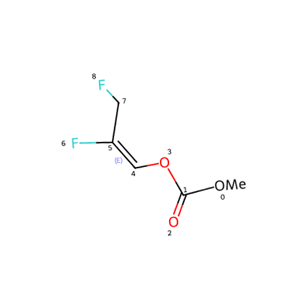 COC(=O)O/C=C(/F)CF